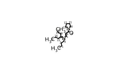 CCCCN(/C=C/C(=O)N1CCCC1)C(CCC)CCC